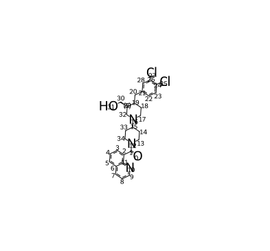 O=C(c1cccc2cccnc12)N1CCC(N2CCC(Cc3ccc(Cl)c(Cl)c3)[C@H](CO)C2)CC1